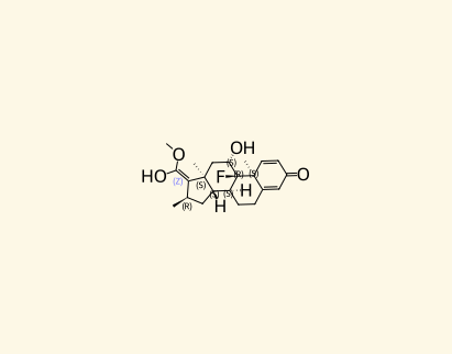 CO/C(O)=C1/[C@H](C)C[C@H]2[C@@H]3CCC4=CC(=O)C=C[C@]4(C)[C@@]3(F)[C@@H](O)C[C@]12C